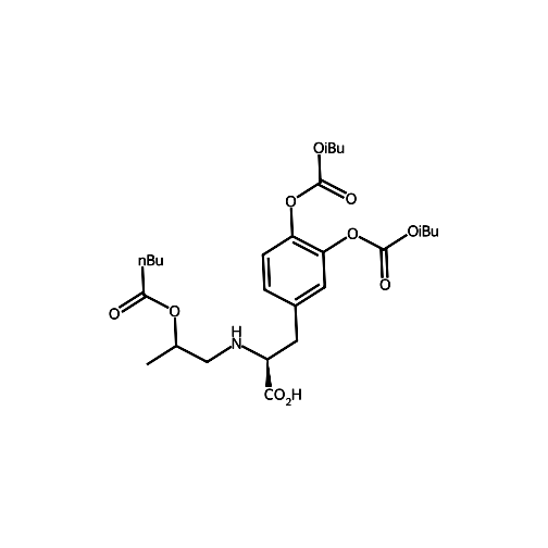 CCCCC(=O)OC(C)CN[C@@H](Cc1ccc(OC(=O)OCC(C)C)c(OC(=O)OCC(C)C)c1)C(=O)O